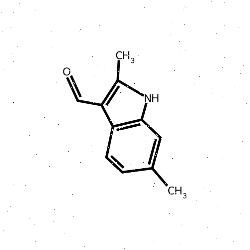 Cc1ccc2c(C=O)c(C)[nH]c2c1